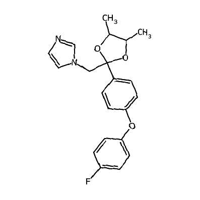 CC1OC(Cn2ccnc2)(c2ccc(Oc3ccc(F)cc3)cc2)OC1C